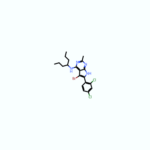 CCCC(CCC)Nc1nc(C)nc2[nH]c(-c3ccc(Cl)cc3Cl)c(Br)c12